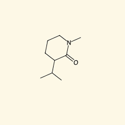 CC(C)C1CCCN(C)C1=O